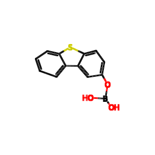 OB(O)Oc1ccc2sc3ccccc3c2c1